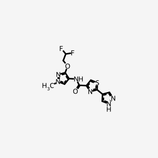 Cn1cc(NC(=O)c2csc(-c3cn[nH]c3)n2)c(OCC(F)F)n1